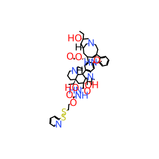 CC[C@]1(O)C[C@H]2CN(CCc3c([nH]c4ccccc34)[C@@](COC=O)(c3cc4c(cc3OC)N(C)[C@H]3[C@@](O)(C(=O)NNC(=O)OCCSSc5ccccn5)[C@H](O)[C@]5(CC)CCCN6CC[C@]43[C@@H]65)C2)C1